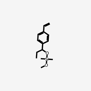 C=Cc1ccc(C(CC)O[Si](C)(C)OC)cc1